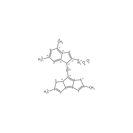 CC1=CC2=c3cc(C)sc3=[C]([Zr+2][CH]3C(C)=Cc4c(C)cc(C)cc43)C2S1.[Cl-].[Cl-]